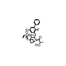 C=CS(=O)(=O)NC1C(Cc2cc(F)cc(-c3ccccc3)c2F)N(C(=O)[C@@H](C)O)C2CC1(F)C2